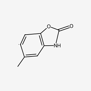 Cc1[c]cc2oc(=O)[nH]c2c1